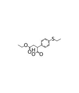 CCOC(=O)CC(C(=O)O)c1ccc(SCC)cc1